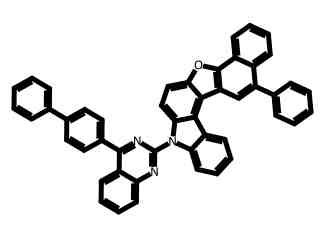 c1ccc(-c2ccc(-c3nc(-n4c5ccccc5c5c6c(ccc54)oc4c5ccccc5c(-c5ccccc5)cc46)nc4ccccc34)cc2)cc1